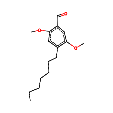 CCCCCCCc1cc(OC)c(C=O)cc1OC